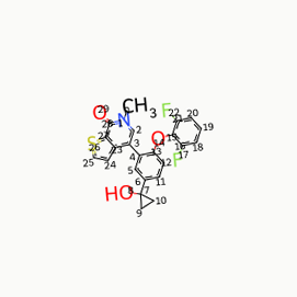 Cn1cc(-c2cc(C3(O)CC3)ccc2Oc2c(F)cccc2F)c2ccsc2c1=O